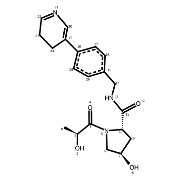 C[C@H](O)C(=O)N1C[C@H](O)C[C@H]1C(=O)NCc1ccc(C2=CN=CCC2)cc1